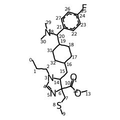 CCCN1C=NC(CSC)(C(=O)OC)C1CC1CCC(C(c2ccc(F)cc2)N(C)C)CC1